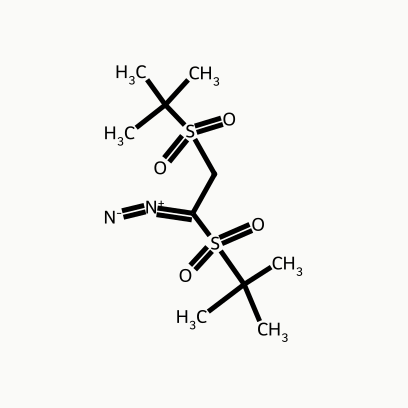 CC(C)(C)S(=O)(=O)CC(=[N+]=[N-])S(=O)(=O)C(C)(C)C